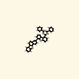 c1ccc(-c2nc(-c3ccccc3)nc(-c3cccc4oc5c(-c6ccc7c(ccc8c9ccccc9sc78)c6)cccc5c34)n2)cc1